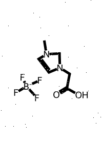 CN1C=CN(CC(=O)O)C1.F[B-](F)(F)F